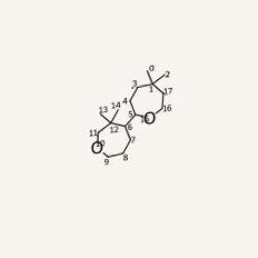 CC1(C)[CH]CC(C2CCCOCC2(C)C)OCC1